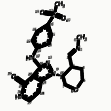 CN=CC1CCOC[C@@H]1n1nc(Nc2ccc(S(C)(=O)=O)cc2)c2c(=O)[nH]ccc21